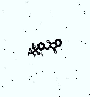 NC(N)(c1cccc(CN2C(=O)c3ccccc3C2=O)c1)C(F)(F)F